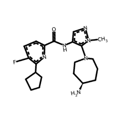 Cn1ncc(NC(=O)c2ccc(F)c(C3CCCC3)n2)c1N1CCC[C@@H](N)CC1